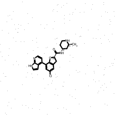 C[C@H]1C[C@H](NC(=O)[C@H]2Cc3cc(Cl)cc(-c4ccnc5[nH]ccc45)c3O2)CCN1